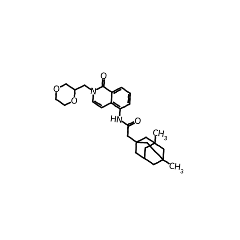 CC12CC3CC(C)(C1)CC(CC(=O)Nc1cccc4c(=O)n(CC5COCCO5)ccc14)(C3)C2